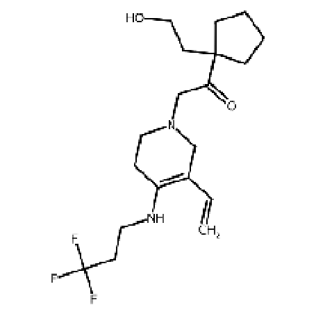 C=CC1=C(NCCC(F)(F)F)CCN(CC(=O)C2(CCO)CCCC2)C1